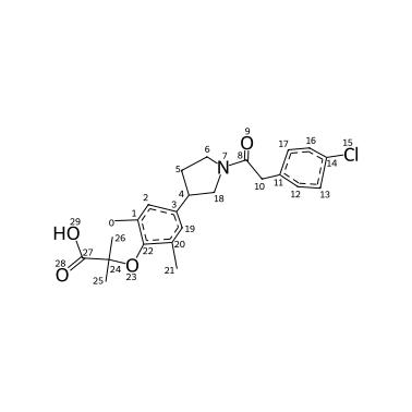 Cc1cc(C2CCN(C(=O)Cc3ccc(Cl)cc3)C2)cc(C)c1OC(C)(C)C(=O)O